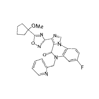 COC1(c2nc(-c3ncn4c3c(=O)n(Cc3ccccn3)c3cc(F)ccc34)no2)CCCC1